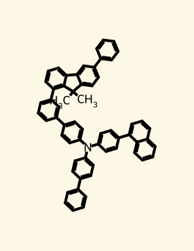 CC1(C)c2ccc(-c3ccccc3)cc2-c2cccc(-c3cccc(-c4ccc(N(c5ccc(-c6ccccc6)cc5)c5ccc(-c6cccc7ccccc67)cc5)cc4)c3)c21